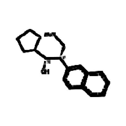 CNC[C@H](c1ccc2ccccc2c1)[C@H](O)C1CCCS1